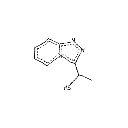 CC(S)c1nnc2ccccn12